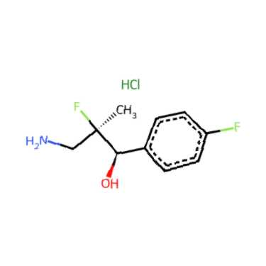 C[C@@](F)(CN)[C@H](O)c1ccc(F)cc1.Cl